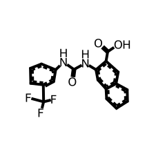 O=C(Nc1cccc(C(F)(F)F)c1)Nc1cc2ccccc2cc1C(=O)O